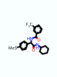 CSc1ccc(C(NC(=O)c2cccc(C(F)(F)F)c2)C(=O)NC2CCCCC2)cc1